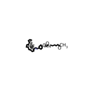 CC(=O)CCCCCNC(=O)COc1ccc(/C=C/C2=[N+]3C(=Cc4ccc(-c5cccs5)n4[B-]3(F)F)C=C2)cc1